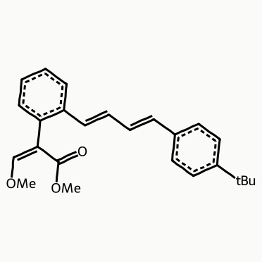 COC=C(C(=O)OC)c1ccccc1C=CC=Cc1ccc(C(C)(C)C)cc1